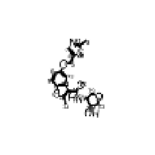 Cc1ncc(COc2ccc3oc(C)c(C(=O)N[C@@H]4COC[C@H]4O)c3c2)s1